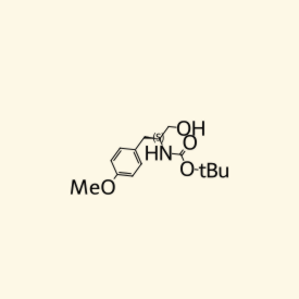 COc1ccc(C[C@@H](CO)NC(=O)OC(C)(C)C)cc1